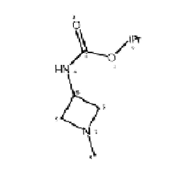 CC(C)OC(=O)NC1CN(C)C1